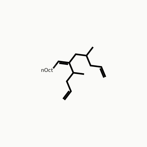 C=CCC(C)CC(=CCCCCCCCC)C(C)CC=C